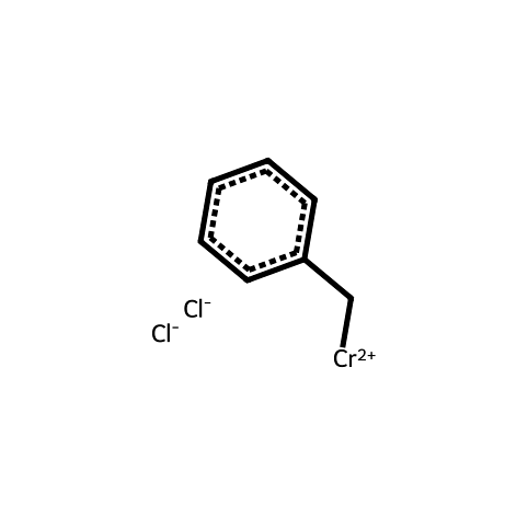 [Cl-].[Cl-].[Cr+2][CH2]c1ccccc1